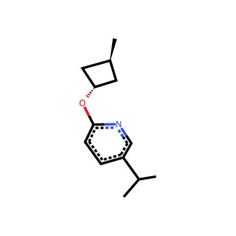 CC(C)c1ccc(O[C@H]2C[C@H](C)C2)nc1